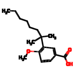 CCCCCCC(C)(C)c1cc(C(=O)O)ccc1OC